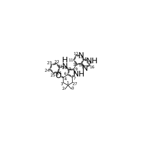 CC1(C)CC(=O)c2c([nH]c(-c3ccnc4[nH]cnc34)c2Nc2ccccc2)C1